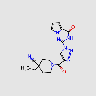 CCC1(C#N)CCN(C(=O)c2cn(-c3nn4cccc4c(=O)[nH]3)nn2)CC1